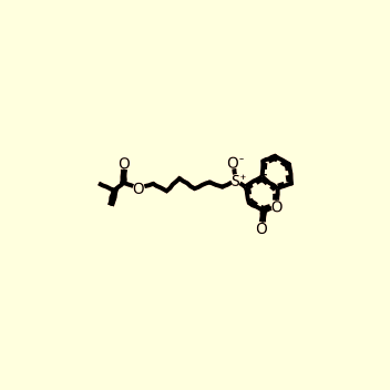 C=C(C)C(=O)OCCCCCC[S+]([O-])c1cc(=O)oc2ccccc12